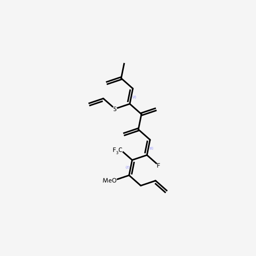 C=CC/C(OC)=C(\C(F)=C/C(=C)C(=C)/C(=C/C(=C)C)SC=C)C(F)(F)F